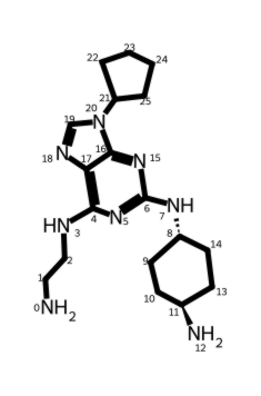 NCCNc1nc(N[C@H]2CC[C@H](N)CC2)nc2c1ncn2C1CCCC1